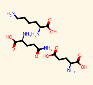 NC(=O)CC[C@H](N)C(=O)O.NCCCC[C@H](N)C(=O)O.N[C@@H](CCC(=O)O)C(=O)O